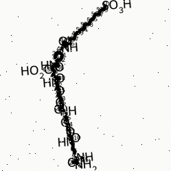 NC(=O)[C@H](CCCCNC(=O)COCCOCCNC(=O)COCCOCCNC(=O)CC[C@H](NC(=O)[C@H]1CC[C@H](CNC(=O)CCCCCCCCCCCCCCCS(=O)(=O)O)CC1)C(=O)O)NI